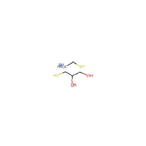 N.O=C(O)CS.OCC(O)CS